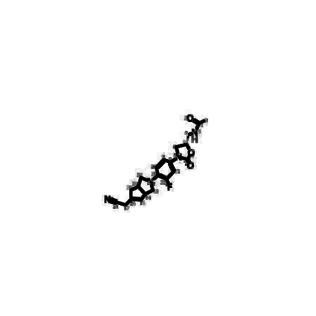 CC(=O)NC[C@H]1CN(c2ccc(N3CC4C=C(CC#N)CC4C3)c(F)c2)C(=O)O1